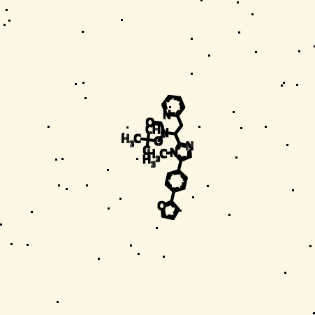 Cn1c(-c2ccc(-c3ccco3)cc2)cnc1C(Cc1ccccn1)N(C=O)OC(C)(C)C